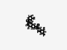 Cc1ccc(Cl)c(CN2C(=O)N(C)C(C)c3ccc(C(=O)NCc4c(F)cc(F)cc4F)cc32)c1F